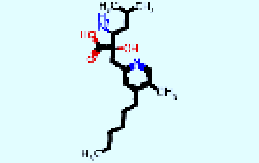 CCCCCCc1cc(C[C@](O)(C(=O)O)[C@@H](N)CC(C)C)ncc1C